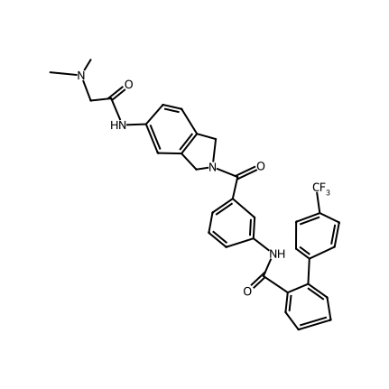 CN(C)CC(=O)Nc1ccc2c(c1)CN(C(=O)c1cccc(NC(=O)c3ccccc3-c3ccc(C(F)(F)F)cc3)c1)C2